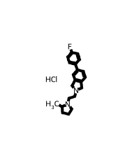 CC1CCCN1CCN1Cc2ccc(-c3ccc(F)cc3)cc2C1.Cl